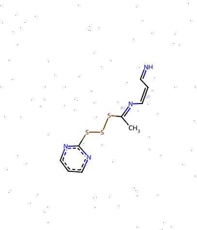 C/C(=N\C=C/C=N)SSSc1ncccn1